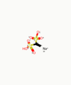 C=C(S(=O)(=O)[O-])S(=O)(=O)O.[Na+]